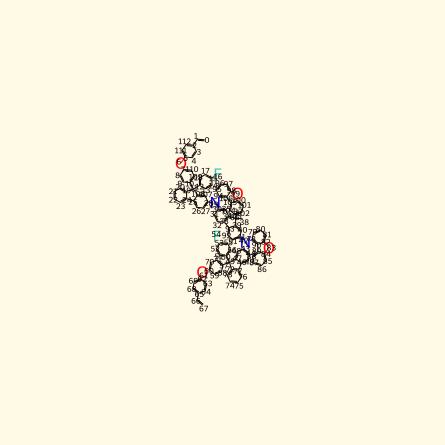 C=Cc1ccc(Oc2ccc(C3(c4ccc(F)cc4)c4ccccc4-c4ccc(N(c5ccc6c(c5)C(C)(C)c5cc(N(c7ccc8c(c7)C(c7ccc(F)cc7)(c7ccc(Oc9ccc(C=C)cc9)cc7)c7ccccc7-8)c7cccc8oc9ccccc9c78)ccc5-6)c5cccc6oc7ccccc7c56)cc43)cc2)cc1